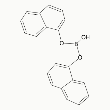 OB(Oc1cccc2ccccc12)Oc1cccc2ccccc12